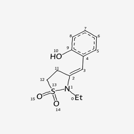 CCN1C(=Cc2ccccc2O)CCS1(=O)=O